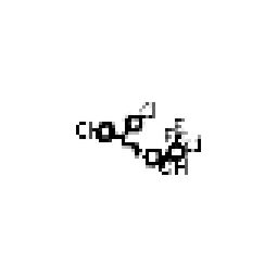 OC1(c2ccc(Cl)c(C(F)(F)F)c2)CCN(CCCC(c2ccc(Cl)cc2)c2ccc(Cl)cc2)CC1